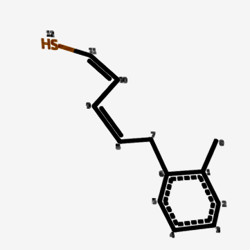 Cc1ccccc1C/C=C\C=C/S